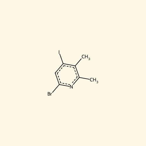 Cc1nc(Br)cc(I)c1C